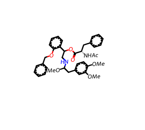 COc1ccc(CC(NCC(OC(=O)[C@H](Cc2ccccc2)NC(C)=O)c2ccccc2OCc2ccccc2)OC)cc1OC